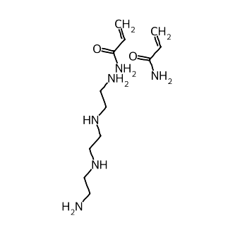 C=CC(N)=O.C=CC(N)=O.NCCNCCNCCN